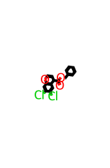 O=C(OCc1ccccc1)C1C=COc2cc(Cl)c(Cl)cc21